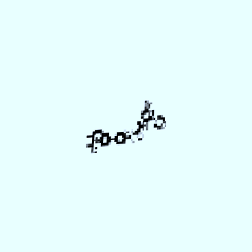 CC(=O)N1c2ccc(-c3ccc([C@@H](C)NC(=O)c4cn5cc(Br)nc(N6CCOCC6)c5n4)cc3)cc2CC[C@@H]1C